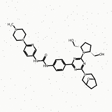 CN1CCN(c2ccc(NC(=O)Nc3ccc(-c4nc(N5CC6CCC(C5)O6)nc(N5[C@H](CO)CC[C@@H]5CO)n4)cc3)cn2)CC1